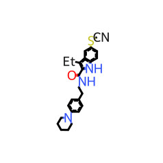 CCc1c(C(=O)NCCc2ccc(N3CCCCC3)cc2)[nH]c2ccc(SC#N)cc12